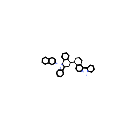 C1=Cc2c(ccc3[nH]c4ccccc4c23)C(C2Cc3c(n(-c4ccc5ccccc5c4)c4ccccc34)-c3ccccc32)C1